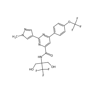 Cn1cc(-c2nc(C(=O)NC(CO)(CO)C(F)(F)F)cc(-c3ccc(OC(F)(F)F)cc3)n2)cn1